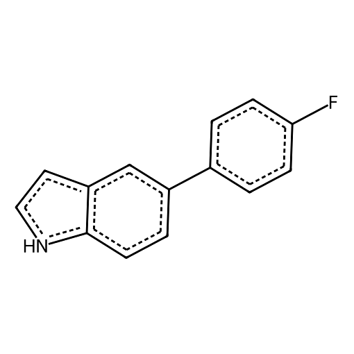 Fc1ccc(-c2ccc3[nH]ccc3c2)cc1